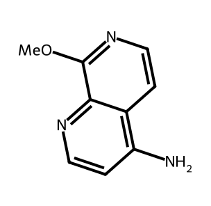 COc1nccc2c(N)ccnc12